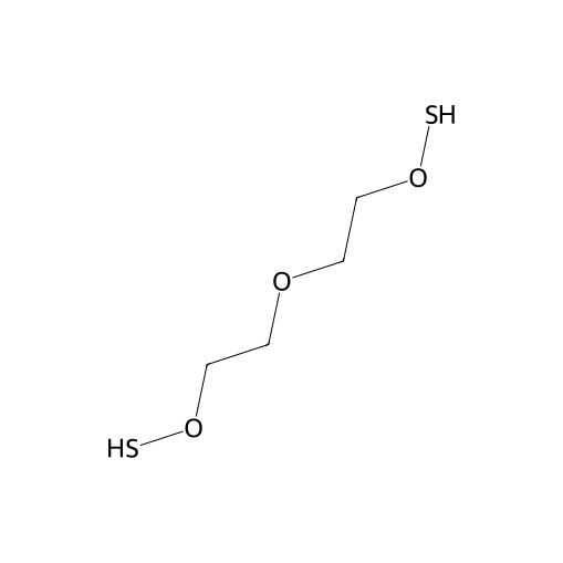 SOCCOCCOS